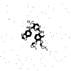 CCOc1ccc(Nc2ncc(C)c(Nc3ccc4ocnc4c3)n2)c(F)c1OCC